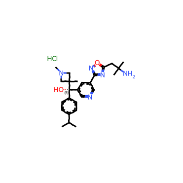 CC(C)c1ccc([C@](O)(c2cncc(-c3noc(CC(C)(C)N)n3)c2)C2(C)CN(C)C2)cc1.Cl